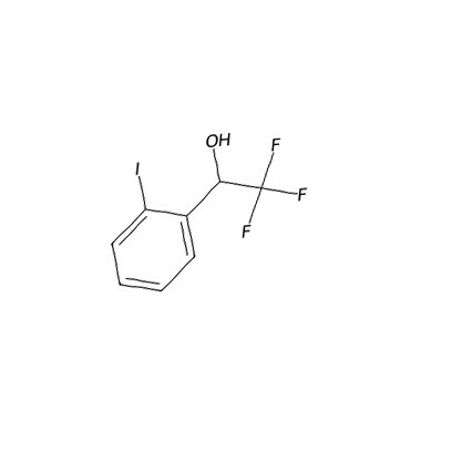 OC(c1ccccc1I)C(F)(F)F